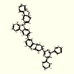 c1ccc(-c2nc(-c3ccccc3)nc(-c3ccc4c(c3)oc3ccc(-c5ccc6c(c5)c5ccccc5n6-c5ccc6oc7ccccc7c6c5)cc34)n2)cc1